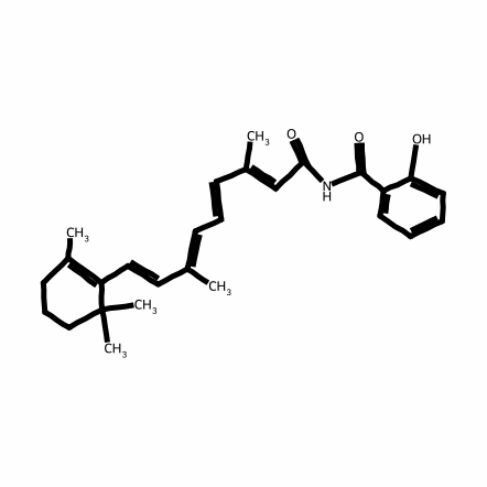 CC(C=CC1=C(C)CCCC1(C)C)=CC=CC(C)=CC(=O)NC(=O)c1ccccc1O